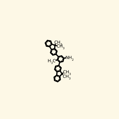 Cc1c(-c2ccc3c(c2)C(C)(C)c2ccccc2-3)cc(N)cc1-c1ccc2c(c1)C(C)(C)c1ccccc1-2